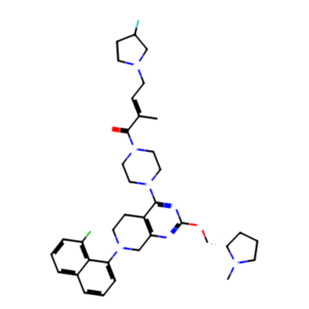 C/C(=C\CN1CCC(F)C1)C(=O)N1CCN(c2nc(OC[C@@H]3CCCN3C)nc3c2CCN(c2cccc4cccc(Cl)c24)C3)CC1